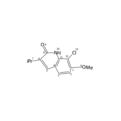 COc1ccc2cc(C(C)C)c(=O)[nH]c2c1Cl